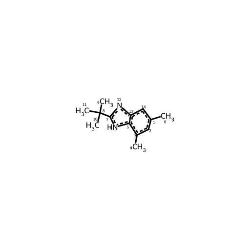 Cc1cc(C)c2[nH]c(C(C)(C)C)nc2c1